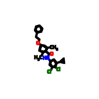 Cc1cc(OCCc2ccccc2)cc(C)c1C(=O)Nc1cc(Cl)c(Cl)c(C2CC2)c1